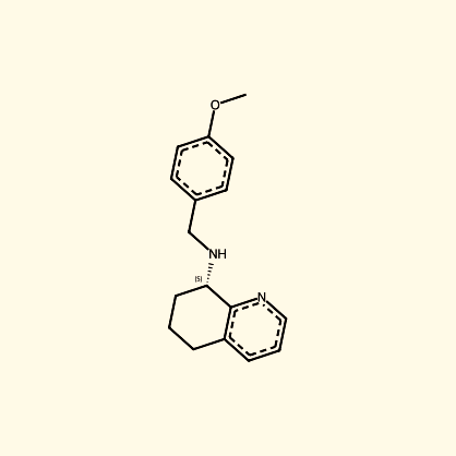 COc1ccc(CN[C@H]2CCCc3cccnc32)cc1